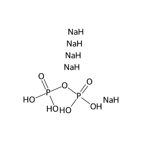 O=P(O)(O)OP(=O)(O)O.[NaH].[NaH].[NaH].[NaH].[NaH]